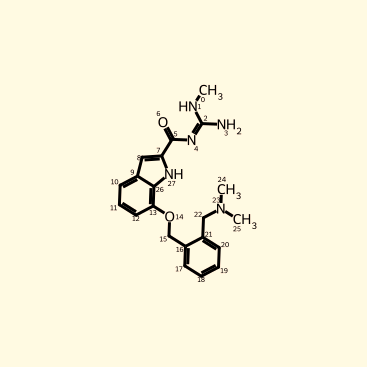 CNC(N)=NC(=O)c1cc2cccc(OCc3ccccc3CN(C)C)c2[nH]1